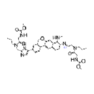 CCCN(C/C=N/c1ccc2cc3c(cc2c1NC)OCc1cc(-c2cnc(CN(CCC)C(=O)CNC(=O)OC)[nH]2)ccc1-3)C(=O)CNC(=O)OC